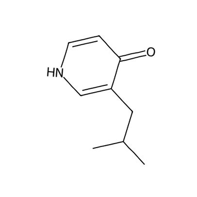 CC(C)Cc1c[nH]ccc1=O